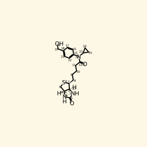 O=C1N[C@H]2[C@H](CS[C@H]2CCCCC(=O)N(c2ccc(CO)cc2)C2CC2)N1